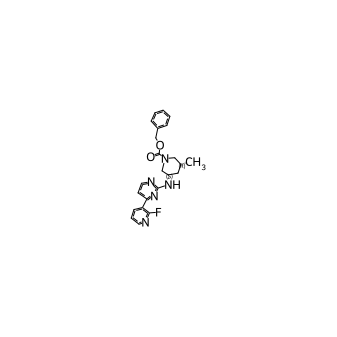 C[C@@H]1C[C@H](Nc2nccc(-c3cccnc3F)n2)CN(C(=O)OCc2ccccc2)C1